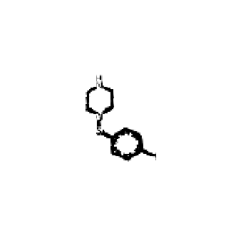 Ic1ccc(SN2CCNCC2)cc1